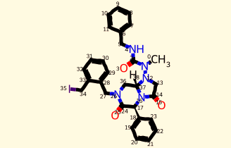 CN(C(=O)NCc1ccccc1)N1CC(=O)N2[C@@H](c3ccccc3)C(=O)N(Cc3ccccc3CI)C[C@@H]21